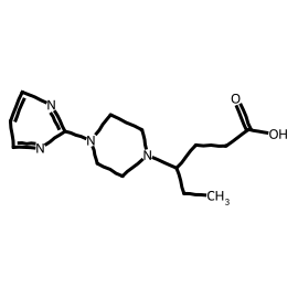 CCC(CCC(=O)O)N1CCN(c2ncccn2)CC1